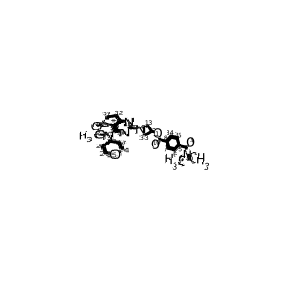 CN(C)C(=O)c1ccc(C(=O)OC2CN(c3nc4c(c(N(C)C5CCOCC5)n3)[S+]([O-])CC4)C2)cc1